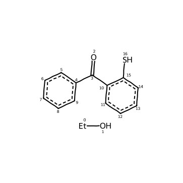 CCO.O=C(c1ccccc1)c1ccccc1S